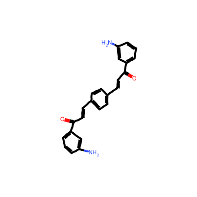 Nc1cccc(C(=O)/C=C/c2ccc(/C=C/C(=O)c3cccc(N)c3)cc2)c1